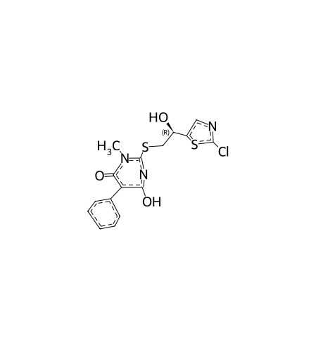 Cn1c(SC[C@@H](O)c2cnc(Cl)s2)nc(O)c(-c2ccccc2)c1=O